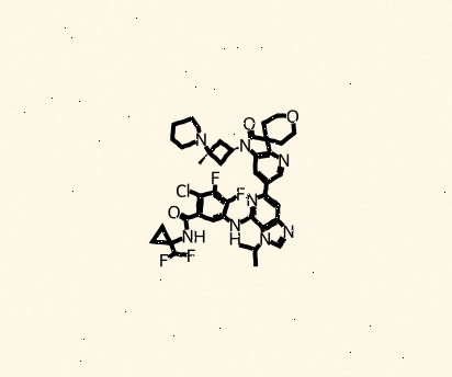 CC(C)n1cnc2cc(-c3cnc4c(c3)N([C@H]3C[C@@](C)(N5CCCCC5)C3)C(=O)C43CCOCC3)nc(Nc3cc(C(=O)NC4(C(F)F)CC4)c(Cl)c(F)c3F)c21